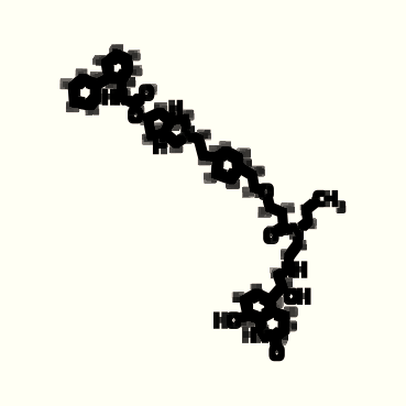 CCCN(CCNC[C@H](O)c1ccc(O)c2[nH]c(=O)ccc12)C(=O)CCOCCc1ccc(CCN2C[C@H]3C[C@@H](OC(=O)Nc4ccccc4-c4ccccc4)C[C@H]3C2)cc1